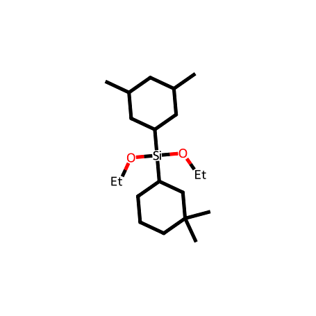 CCO[Si](OCC)(C1CC(C)CC(C)C1)C1CCCC(C)(C)C1